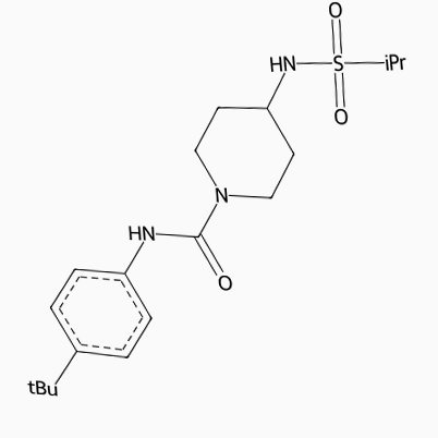 CC(C)S(=O)(=O)NC1CCN(C(=O)Nc2ccc(C(C)(C)C)cc2)CC1